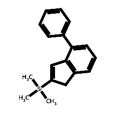 C[Si](C)(C)C1=Cc2c(cccc2-c2ccccc2)[CH]1